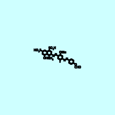 COc1cc(/N=N/c2ccc(OC=O)cc2)c(C)cc1/N=N/c1cc(S(=O)(=O)O)c2cc(S(=O)(=O)O)cc(O)c2c1N